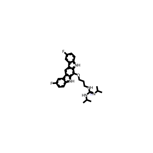 CC(C)/N=C(\NCCCOc1c2[nH]c3ccc(F)cc3c2cc2c1[nH]c1ccc(F)cc12)NC(C)C